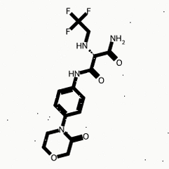 NC(=O)[C@@H](NCC(F)(F)F)C(=O)Nc1ccc(N2CCOCC2=O)cc1